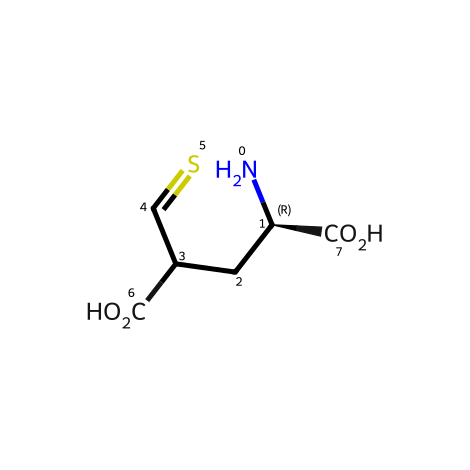 N[C@H](CC(C=S)C(=O)O)C(=O)O